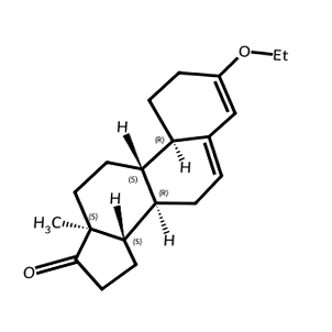 CCOC1=CC2=CC[C@@H]3[C@H](CC[C@]4(C)C(=O)CC[C@@H]34)[C@H]2CC1